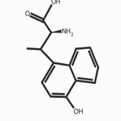 CC(c1ccc(O)c2ccccc12)[C@H](N)C(=O)O